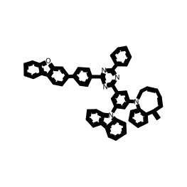 C=C1/C=C\C=C/CN(c2cc(-c3nc(-c4ccccc4)nc(-c4ccc(-c5ccc6c(c5)oc5ccccc56)cc4)n3)cc(-n3c4ccccc4c4ccccc43)c2)c2ccccc21